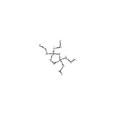 CCO[Si]1(OCC)CC[Si](OCC)(OCC)C1